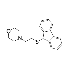 c1ccc2c(c1)-c1ccccc1C2SCCN1CCOCC1